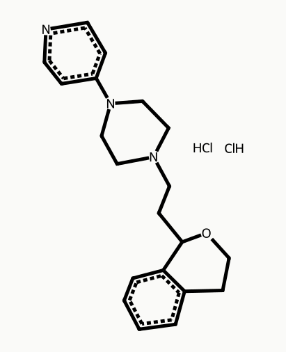 Cl.Cl.c1ccc2c(c1)CCOC2CCN1CCN(c2ccncc2)CC1